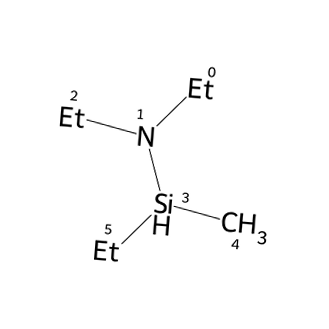 CCN(CC)[SiH](C)CC